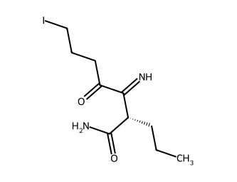 CCC[C@@H](C(=N)C(=O)CCCI)C(N)=O